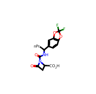 CCCC(NC(=O)N1C(=O)CC1C(=O)O)c1ccc2c(c1)OC(F)(F)O2